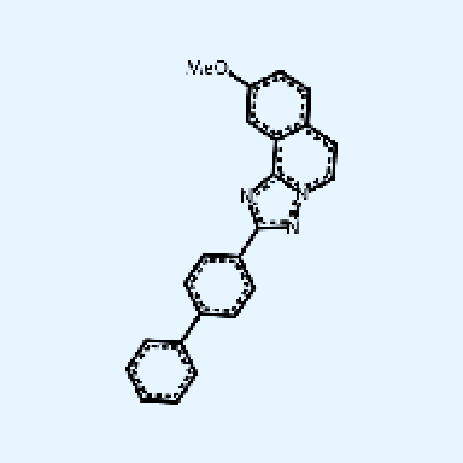 COc1ccc2ccn3nc(-c4ccc(-c5ccccc5)cc4)nc3c2c1